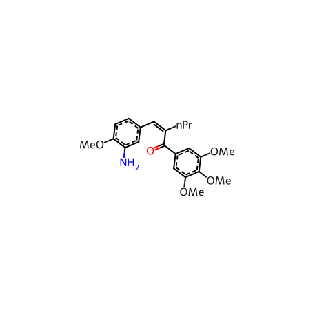 CCCC(=Cc1ccc(OC)c(N)c1)C(=O)c1cc(OC)c(OC)c(OC)c1